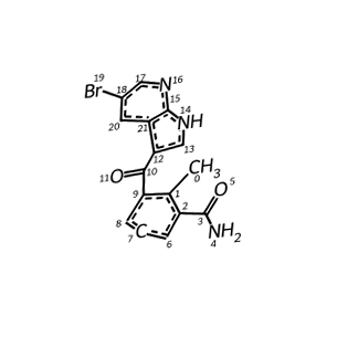 Cc1c(C(N)=O)cccc1C(=O)c1c[nH]c2ncc(Br)cc12